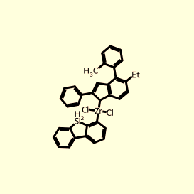 CCc1ccc2c(c1-c1ccccc1C)C=C(c1ccccc1)[CH]2[Zr]([Cl])([Cl])[c]1cccc2c1[SiH2]c1ccccc1-2